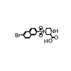 O=C(O)C1CN(S(=O)(=O)c2ccc3cc(Br)ccc3c2)CCN1